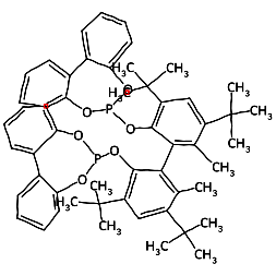 Cc1c(C(C)(C)C)cc(C(C)(C)C)c(Op2oc3ccccc3c3ccccc3o2)c1-c1c(C)c(C(C)(C)C)cc(C(C)(C)C)c1Op1oc2ccccc2c2ccccc2o1